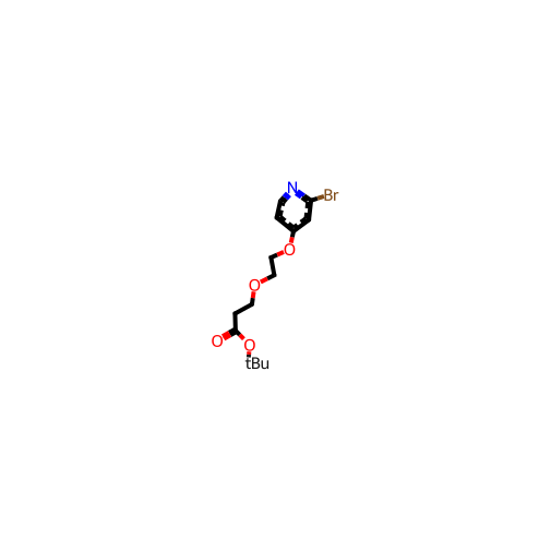 CC(C)(C)OC(=O)CCOCCOc1ccnc(Br)c1